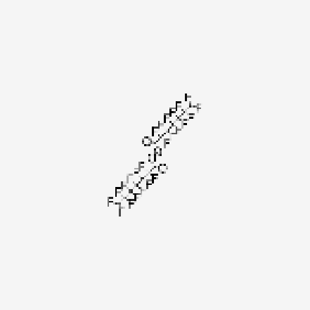 O=C(OOC(=O)C(F)(F)C(F)(F)C(F)(F)C(F)(F)C(F)(F)C(F)F)C(F)(F)C(F)(F)C(F)(F)C(F)(F)C(F)(F)C(F)F